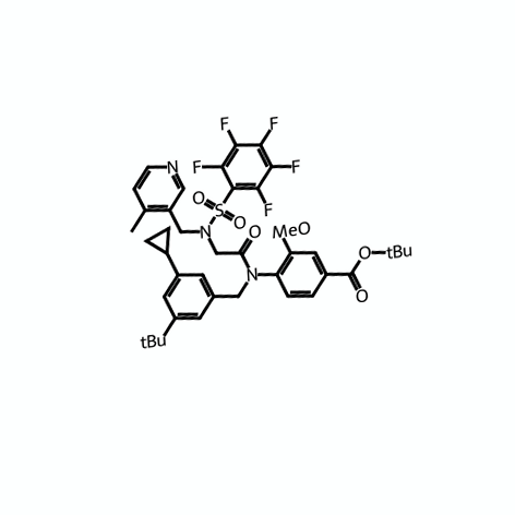 COc1cc(C(=O)OC(C)(C)C)ccc1N(Cc1cc(C2CC2)cc(C(C)(C)C)c1)C(=O)CN(Cc1cnccc1C)S(=O)(=O)c1c(F)c(F)c(F)c(F)c1F